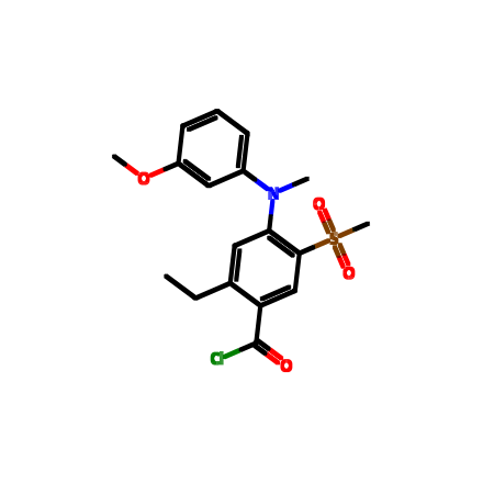 CCc1cc(N(C)c2cccc(OC)c2)c(S(C)(=O)=O)cc1C(=O)Cl